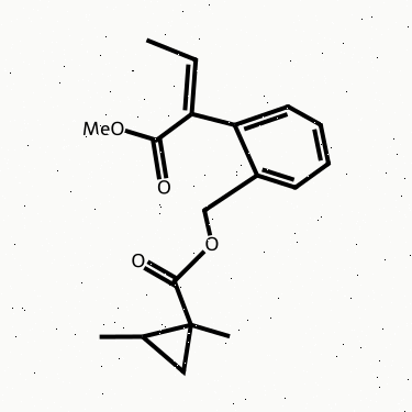 CC=C(C(=O)OC)c1ccccc1COC(=O)C1(C)CC1C